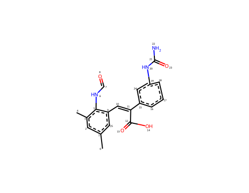 Cc1cc(C)c(NC=O)c(C=C(C(=O)O)c2cccc(NC(N)=O)c2)c1